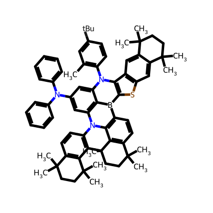 Cc1cc(C(C)(C)C)ccc1N1c2cc(N(c3ccccc3)c3ccccc3)cc3c2B(c2ccc4c5c2N3c2ccc3c(c2C5(C)CCC4(C)C)C(C)(C)CCC3(C)C)c2sc3cc4c(cc3c21)C(C)(C)CCC4(C)C